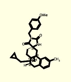 COc1ccc(CN2C(=O)N[C@]3(CC[C@@]4(O)[C@H]5Cc6ccc(C)cc6[C@@]4(CCN5CC4CC4)C3)C2=O)cc1